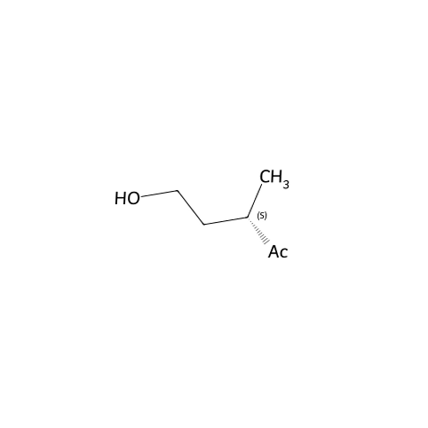 CC(=O)[C@@H](C)CCO